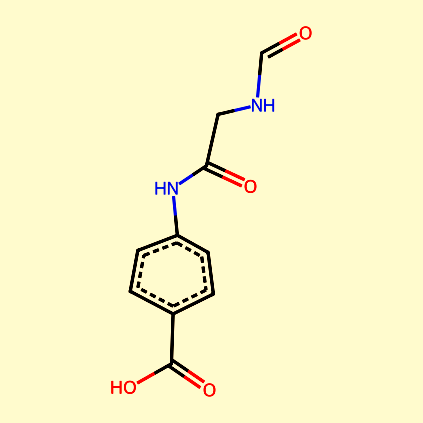 O=CNCC(=O)Nc1ccc(C(=O)O)cc1